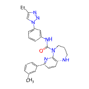 CCc1cn(-c2cccc(NC(=O)N3CCCNc4ccc(-c5cccc(C)c5)nc43)c2)nn1